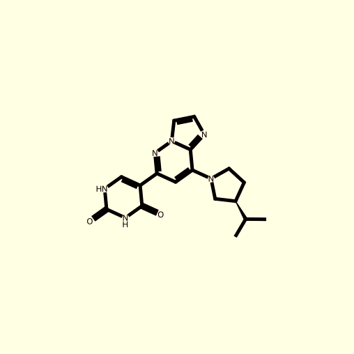 CC(C)[C@@H]1CCN(c2cc(-c3c[nH]c(=O)[nH]c3=O)nn3ccnc23)C1